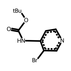 CC(C)(C)OC(=O)Nc1ccncc1Br